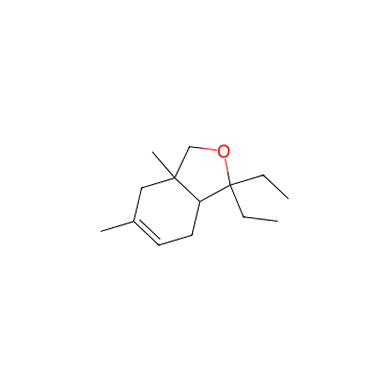 CCC1(CC)OCC2(C)CC(C)=CCC21